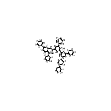 C1=C(c2ccc(-c3ccccc3)cc2)N=C(c2cc(-c3ccccn3)cc(-c3cc4cc(-c5ccccc5)ccc4c(-c4ccccc4)n3)c2)NC1c1ccccc1